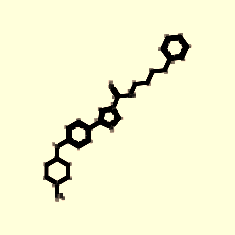 CN1CCC(Oc2ccc(-c3cn(C(=O)NCCCCc4ccccc4)cn3)cc2)CC1